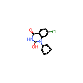 O=C1NC(O)N(c2ccccc2)c2cc(Cl)ccc21